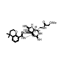 COCC(=O)NC[C@@H]1NC(=N)N2C[C@H](NC(=O)c3cccc4c3OCCC4(C)C)C(O)(O)[C@@]23NC(=N)N[C@@H]13